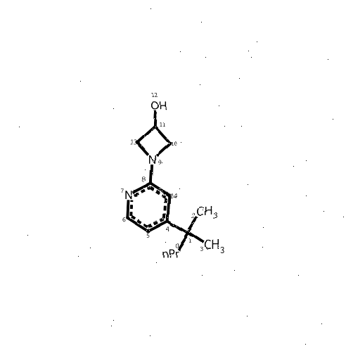 CCCC(C)(C)c1ccnc(N2CC(O)C2)c1